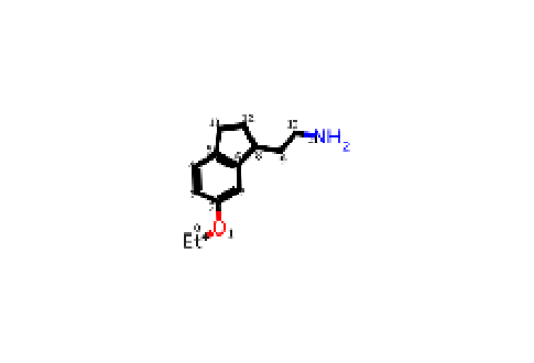 CCOc1ccc2c(c1)C(CCN)CC2